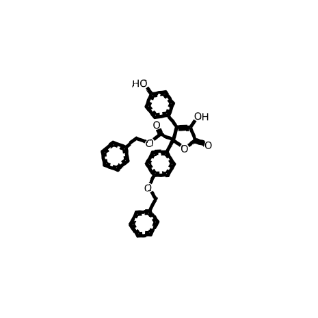 O=C1OC(C(=O)OCc2ccccc2)(c2ccc(OCc3ccccc3)cc2)C(c2ccc(O)cc2)=C1O